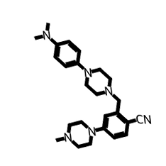 CN1CCN(c2ccc(C#N)c(CN3CCN(c4ccc(N(C)C)cc4)CC3)c2)CC1